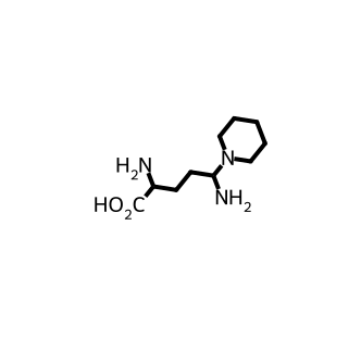 NC(CCC(N)N1CCCCC1)C(=O)O